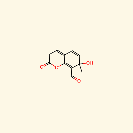 CC1(O)C=CC2=CCC(=O)OC2=C1C=O